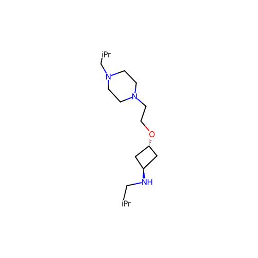 CC(C)CN[C@H]1C[C@H](OCCN2CCN(CC(C)C)CC2)C1